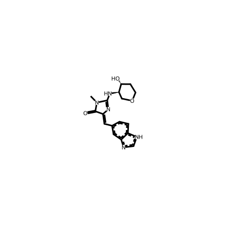 CN1C(=O)/C(=C/c2ccc3[nH]cnc3c2)N=C1N[C@@H]1COCC[C@H]1O